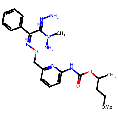 COCCC(C)OC(=O)Nc1cccc(CO/N=C(\C(=N\N)N(C)N)c2ccccc2)n1